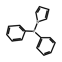 c1ccc(P(c2ccccc2)n2cccc2)cc1